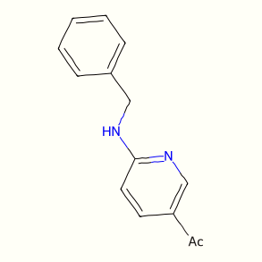 CC(=O)c1ccc(NCc2ccccc2)nc1